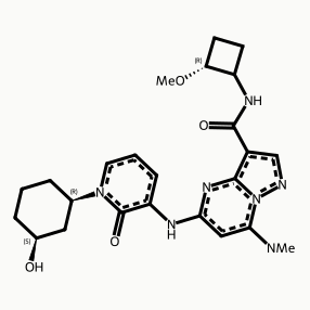 CNc1cc(Nc2cccn([C@@H]3CCC[C@H](O)C3)c2=O)nc2c(C(=O)NC3CC[C@H]3OC)cnn12